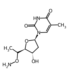 Cc1cn([C@H]2C[C@H](O)[C@@H](C(C)ON)O2)c(=O)[nH]c1=O